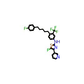 Fc1ccc(CCCCCc2ccc(Nc3nc(-c4cccnc4)c(F)s3)cc2C(F)(F)F)cc1